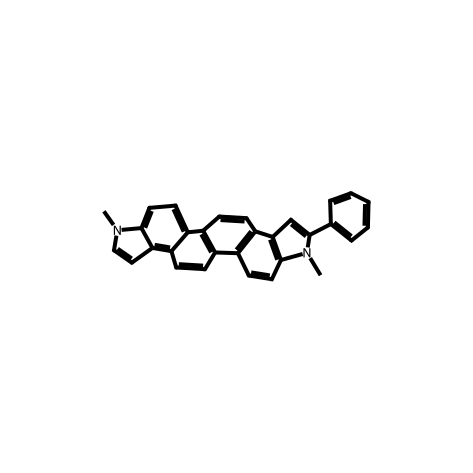 Cn1ccc2c3ccc4c(ccc5c4ccc4c5cc(-c5ccccc5)n4C)c3ccc21